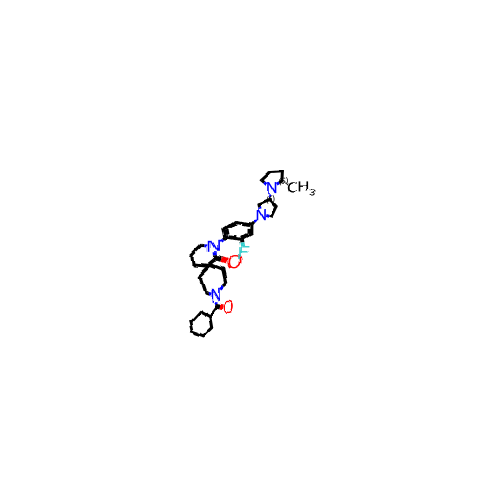 C[C@H]1CCCN1[C@H]1CCN(c2ccc(N3CCCC4(CCN(C(=O)C5CCCCC5)CC4)C3=O)c(F)c2)C1